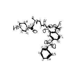 CN(CCNS(=O)(=O)c1cc(S(=O)(=O)c2ccccc2)ccc1C(F)(F)F)C(=O)N1CCNCC1